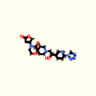 O=C1C=C(N2CCOC3(CCN(C[C@H](O)c4ccc(-n5cnnn5)nc4)CC3)C2=O)CO1